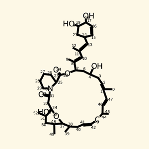 CC1=C/CC(O)CC(/C(C)=C/C(C)=C/C2C=CC(O)C(O)C2)OC(=O)C2CCCCN2C(=O)CC2(O)OC(C(C)C/C=C/CC(C)\C=C\1)C(C)CC2C